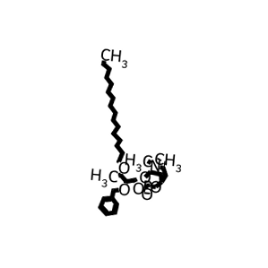 CCCCCCCCCCCCCCCCOC(C)C(COP1(=O)OC2CC[N+](C)(C)C(C2)O1)OCc1ccccc1